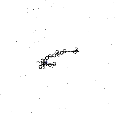 C=CC(=O)OCCCCCCOc1ccc(OC(=O)C2CCC(COc3ccc(-c4ccc(CCC)cc4)c(/C=N/N(CCOCCOC)c4nc5ccccc5s4)c3)CC2)cc1